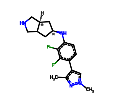 Cc1nn(C)cc1-c1ccc(N[C@H]2CC3CNC[C@H]3C2)c(F)c1F